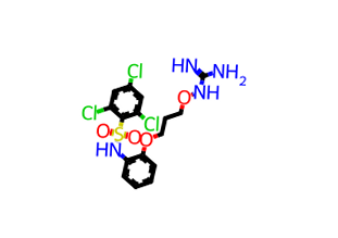 N=C(N)NOCCCOc1ccccc1NS(=O)(=O)c1c(Cl)cc(Cl)cc1Cl